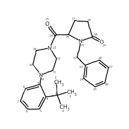 CC(C)(C)c1ccccc1N1CCN(C(=O)C2CCC(=O)N2Cc2ccccc2)CC1